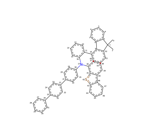 CC1(C)c2ccccc2-c2c(-c3ccccc3N(c3ccc(-c4ccc(-c5ccccc5)cc4)cc3)c3cccc4c3sc3ccccc34)cccc21